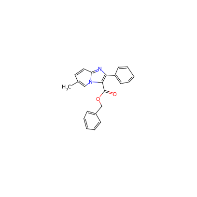 Cc1ccc2nc(-c3ccccc3)c(C(=O)OCc3ccccc3)n2c1